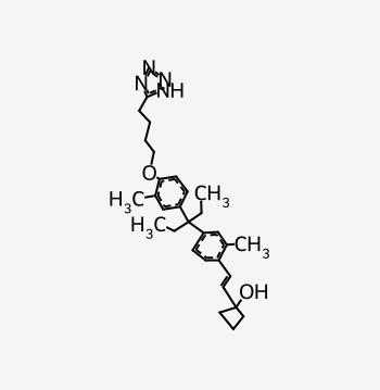 CCC(CC)(c1ccc(C=CC2(O)CCC2)c(C)c1)c1ccc(OCCCCc2nnn[nH]2)c(C)c1